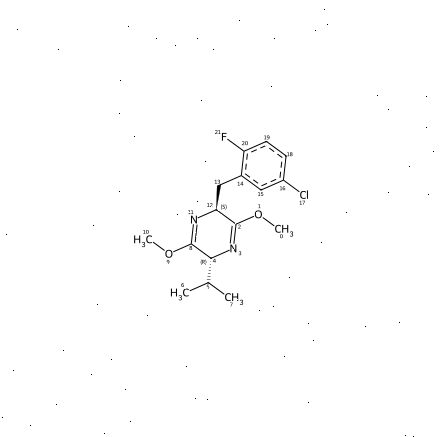 COC1=N[C@H](C(C)C)C(OC)=N[C@H]1Cc1cc(Cl)ccc1F